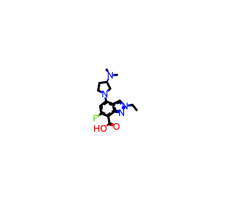 CCn1cc2c(N3CC[C@@H](N(C)C)C3)cc(F)c(C(=O)O)c2n1